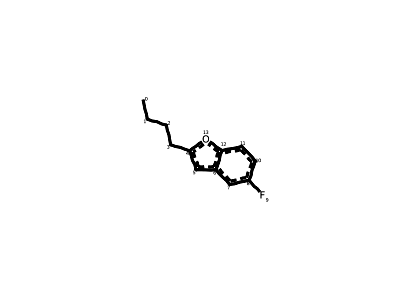 CCCCc1cc2cc(F)ccc2o1